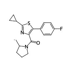 [CH2]C1CCCN1C(=O)c1nc(C2CC2)sc1-c1ccc(F)cc1